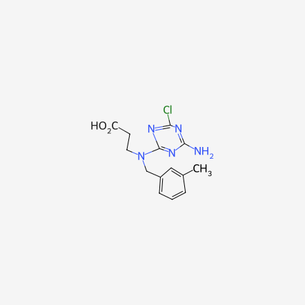 Cc1cccc(CN(CCC(=O)O)c2nc(N)nc(Cl)n2)c1